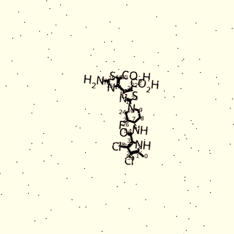 Cc1[nH]c(C(=O)N[C@@H]2CCN(c3nc(-c4nc(N)sc4C(=O)O)c(C(=O)O)s3)C[C@@H]2F)c(Cl)c1Cl